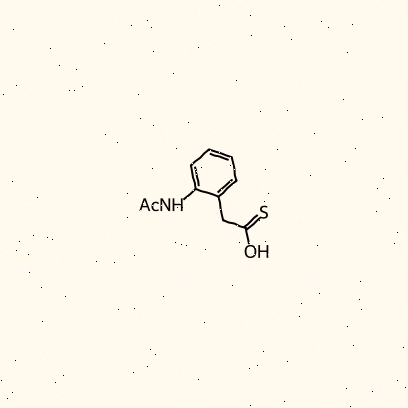 CC(=O)Nc1ccccc1CC(O)=S